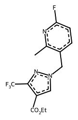 CCOC(=O)c1cn(Cc2ccc(F)nc2C)nc1C(F)(F)F